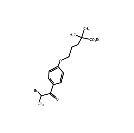 CCOC(=O)C(C)(C)CCCOc1ccc(C(=O)C(C)Br)cc1